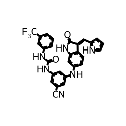 N#Cc1cc(NC(=O)Nc2cccc(C(F)(F)F)c2)cc(Nc2ccc3c(c2)NC(=O)C3=Cc2ccc[nH]2)c1